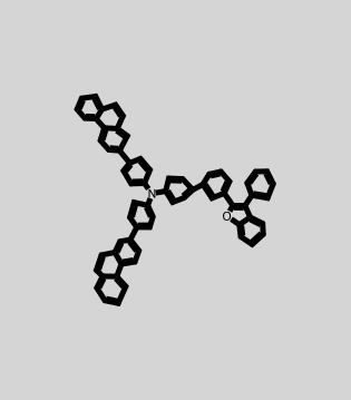 c1ccc(-c2c(-c3cccc(-c4ccc(N(c5ccc(-c6ccc7c(ccc8ccccc87)c6)cc5)c5ccc(-c6ccc7c(ccc8ccccc87)c6)cc5)cc4)c3)oc3ccccc23)cc1